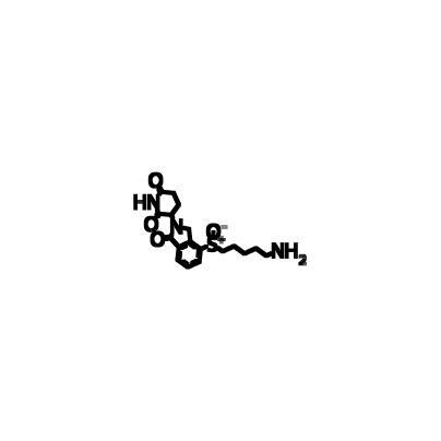 NCCCCC[S+]([O-])c1cccc2c1CN(C1CCC(=O)NC1=O)C2=O